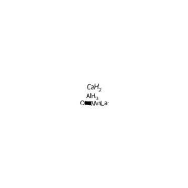 [AlH3].[CaH2].[La].[O]=[Mn]